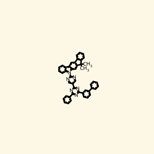 CC1(C)c2ccccc2-c2cc3c4ccccc4n(-c4ncc(-c5nc(-c6ccccc6)nc(-c6cccc(-c7ccccc7)c6)n5)cn4)c3cc21